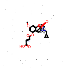 COc1cc(OC(=O)/C=C/C(=O)O)c2c(c1)[C@]13CCN(CC4CC4)[C@H](C2)[C@@H]1OC(=O)OC3